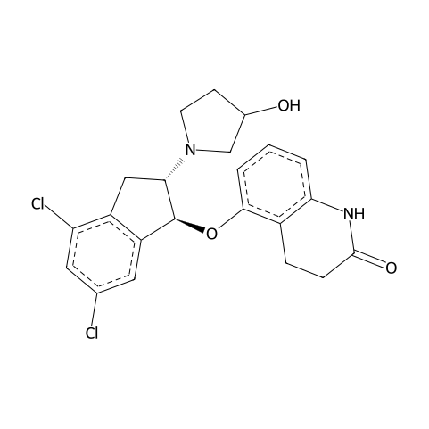 O=C1CCc2c(cccc2O[C@H]2c3cc(Cl)cc(Cl)c3C[C@@H]2N2CCC(O)C2)N1